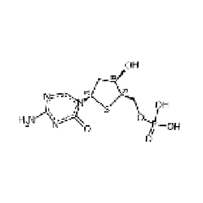 Nc1ncn([C@H]2C[C@@H](O)[C@@H](COP(=O)(O)O)S2)c(=O)n1